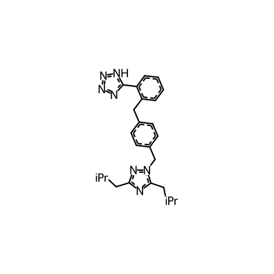 CC(C)Cc1nc(CC(C)C)n(Cc2ccc(Cc3ccccc3-c3nnn[nH]3)cc2)n1